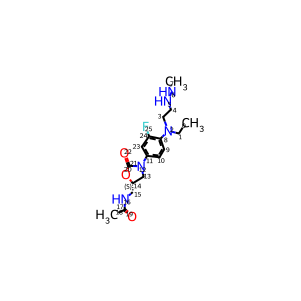 CCN(CCNNC)c1ccc(N2C[C@H](CNC(C)=O)OC2=O)cc1F